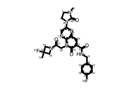 CN1CCN(c2cnc3c(cc(C(=O)NCc4ccc(F)cc4)c(=O)n3CC(=O)N3CC(C)(F)C3)n2)C1=O